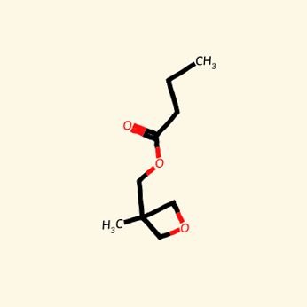 CCCC(=O)OCC1(C)COC1